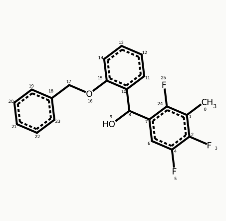 Cc1c(F)c(F)cc(C(O)c2ccccc2OCc2ccccc2)c1F